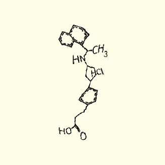 C[C@@H](N[C@H]1CC[C@@H](c2ccc(CCC(=O)O)cc2)C1)c1cccc2ccccc12.Cl